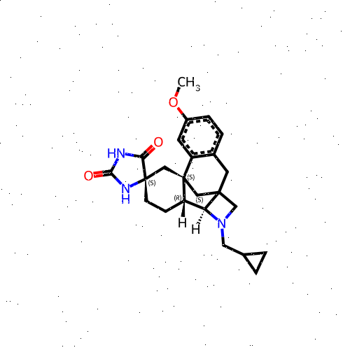 COc1ccc2c(c1)[C@]13CC4(C2)CN(CC2CC2)[C@H]4[C@@H]1CC[C@@]1(C3)NC(=O)NC1=O